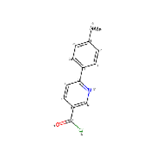 CNc1ccc(-c2ccc(C(=O)Cl)cn2)cc1